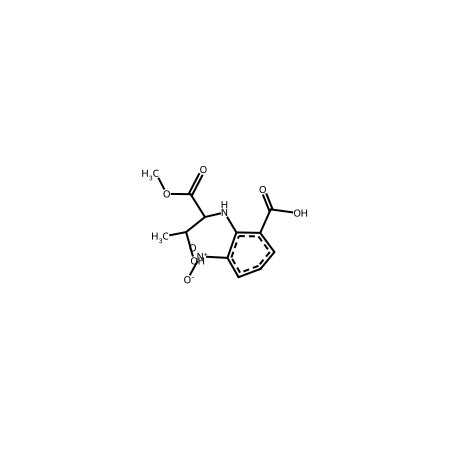 COC(=O)C(Nc1c(C(=O)O)cccc1[N+](=O)[O-])C(C)O